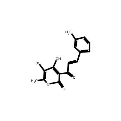 Cc1cccc(C=CC(=O)c2c(O)c(Br)c(C)oc2=O)c1